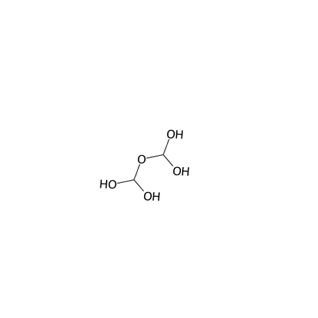 OC(O)OC(O)O